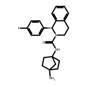 NC12CCC(NC(=O)N3CCc4ccccc4[C@@H]3c3ccc(F)cc3)(CC1)C2